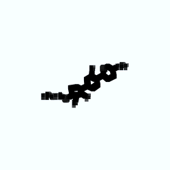 CCCCCOc1ccc(-c2ccc(C3CCC(CCC)CO3)c(F)c2)c(F)c1F